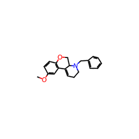 COc1ccc2c(c1)C1=CCCN(Cc3ccccc3)C1CO2